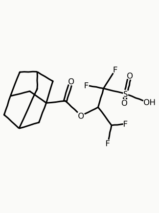 O=C(OC(C(F)F)C(F)(F)S(=O)(=O)O)C12CC3CC(CC(C3)C1)C2